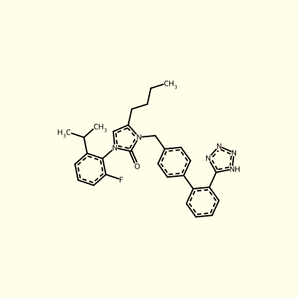 CCCCc1cn(-c2c(F)cccc2C(C)C)c(=O)n1Cc1ccc(-c2ccccc2-c2nnn[nH]2)cc1